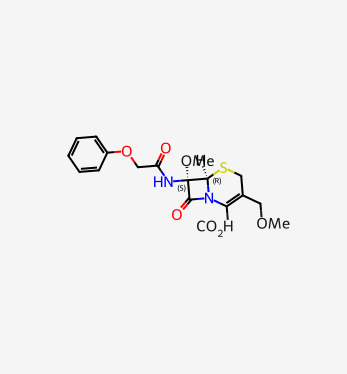 COCC1=C(C(=O)O)N2C(=O)[C@](NC(=O)COc3ccccc3)(OC)[C@H]2SC1